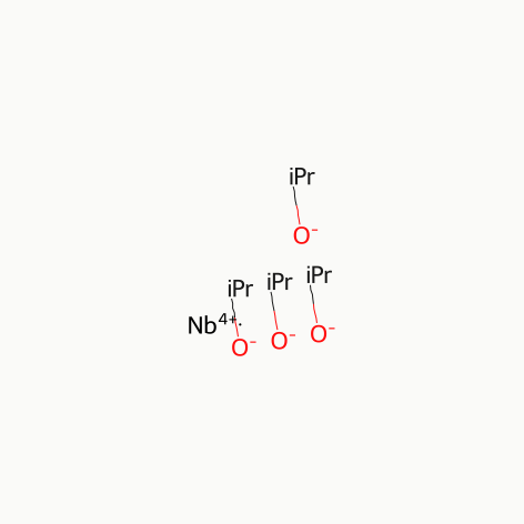 CC(C)[O-].CC(C)[O-].CC(C)[O-].CC(C)[O-].[Nb+4]